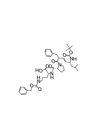 CC(C)CC(/C=C/C(Cc1ccccc1)C(=O)N1CCC[C@@H]1C(=O)NC(CCCNC(=O)OCc1ccccc1)C(=O)O)NC(=O)OC(C)(C)C